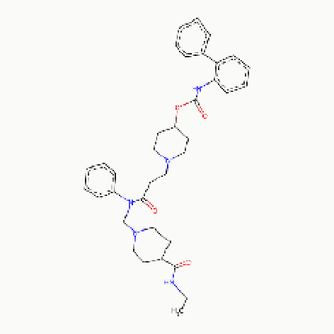 CCNC(=O)C1CCN(CN(C(=O)CCN2CCC(OC(=O)Nc3ccccc3-c3ccccc3)CC2)c2ccccc2)CC1